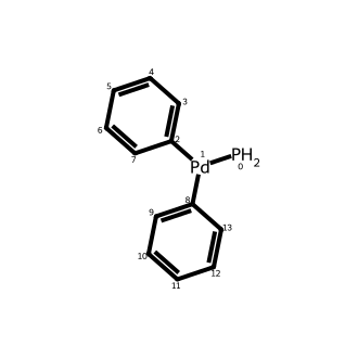 [PH2][Pd]([c]1ccccc1)[c]1ccccc1